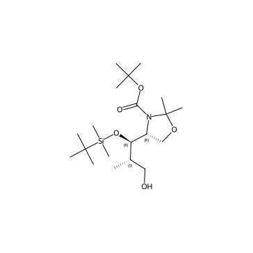 C[C@@H](CO)[C@@H](O[Si](C)(C)C(C)(C)C)[C@H]1COC(C)(C)N1C(=O)OC(C)(C)C